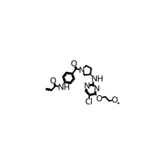 C=CC(=O)Nc1ccc(C(=O)N2CC[C@@H](Nc3ncc(Cl)c(OCCOC)n3)C2)cc1